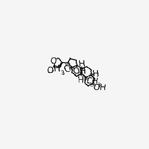 C[C@]12CC[C@H](O)C[C@H]1CC[C@@H]1[C@@H]2CC[C@]2(C)[C@@H](C3=CC(=O)OC3)CCC12O